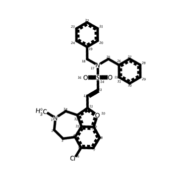 CN1CCc2c(Cl)ccc3oc(/C=C/S(=O)(=O)N(Cc4ccccc4)Cc4ccccc4)c(c23)C1